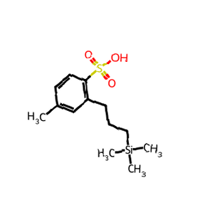 Cc1ccc(S(=O)(=O)O)c(CCC[Si](C)(C)C)c1